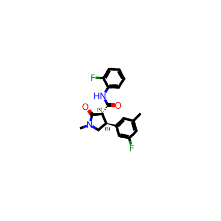 Cc1cc(F)cc([C@H]2CN(C)C(=O)[C@@H]2C(=O)Nc2ccccc2F)c1